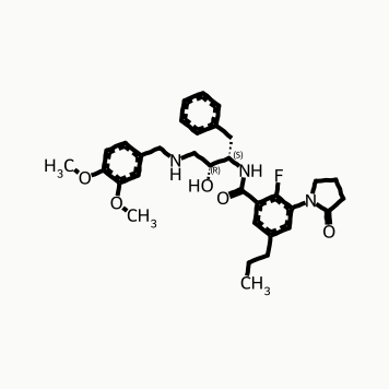 CCCc1cc(C(=O)N[C@@H](Cc2ccccc2)[C@H](O)CNCc2ccc(OC)c(OC)c2)c(F)c(N2CCCC2=O)c1